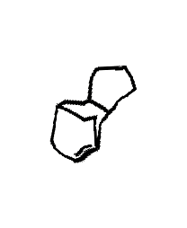 C1=C2CC(C1)C1CCCC21